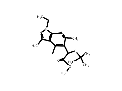 CCn1nc(C)c2c(I)c(C(OC(C)(C)C)C(=O)OC)c(C)nc21